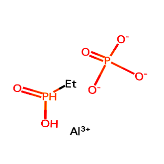 CC[PH](=O)O.O=P([O-])([O-])[O-].[Al+3]